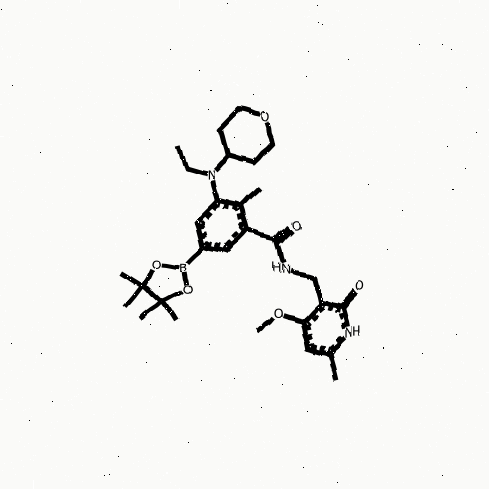 CCN(c1cc(B2OC(C)(C)C(C)(C)O2)cc(C(=O)NCc2c(OC)cc(C)[nH]c2=O)c1C)C1CCOCC1